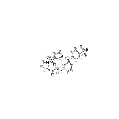 O=C(NCc1cccc(Oc2ccc(C(F)(F)F)cc2)c1)[C@@H]1CCCN1S(=O)(=O)c1ccsc1